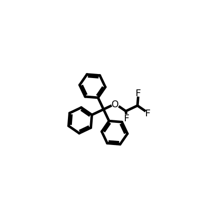 FC(F)C(F)OC(c1ccccc1)(c1ccccc1)c1ccccc1